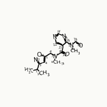 CC(C)c1cc(CN(C)C(=O)c2cncnc2N(C)C=O)on1